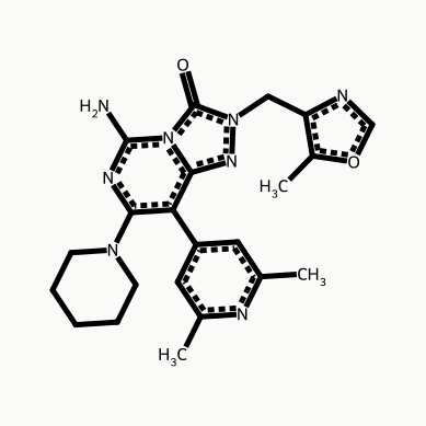 Cc1cc(-c2c(N3CCCCC3)nc(N)n3c(=O)n(Cc4ncoc4C)nc23)cc(C)n1